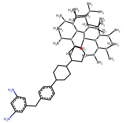 BB(B)B(B(B)B)B(B(B)B)B(B(B(B(B)B)B(B)B)B(B(B)B)B(B)B)B(B(B(B(B)B)B(B)B)B(B(B)B)B(B)B)C1CCC(C2CCC(c3ccc(Cc4cc(N)cc(N)c4)cc3)CC2)CC1